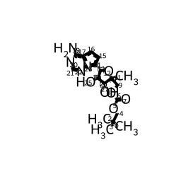 CC(C)(C)COC(=O)OC[C@@]1(C)O[C@@H](c2ccc3c(N)ncnn23)[C@H](O)[C@@H]1O